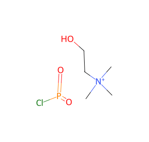 C[N+](C)(C)CCO.O=P(=O)Cl